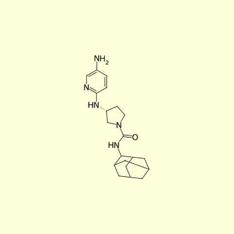 Nc1ccc(N[C@@H]2CCN(C(=O)NC3C4CC5CC(C4)CC3C5)C2)nc1